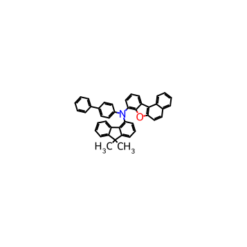 CC1(C)c2ccccc2-c2c(N(c3ccc(-c4ccccc4)cc3)c3cccc4c3oc3ccc5ccccc5c34)cccc21